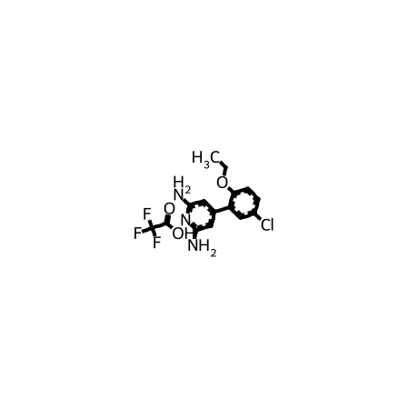 CCOc1ccc(Cl)cc1-c1cc(N)nc(N)c1.O=C(O)C(F)(F)F